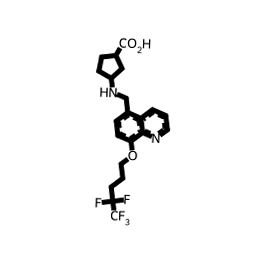 O=C(O)C1CCC(NCc2ccc(OCCCC(F)(F)C(F)(F)F)c3ncccc23)C1